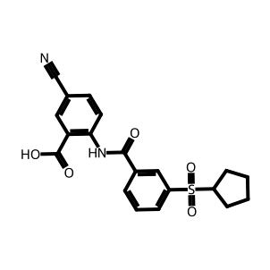 N#Cc1ccc(NC(=O)c2cccc(S(=O)(=O)C3CCCC3)c2)c(C(=O)O)c1